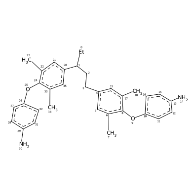 CCC(CCc1cc(C)c(Oc2ccc(N)cc2)c(C)c1)c1cc(C)c(Oc2ccc(N)cc2)c(C)c1